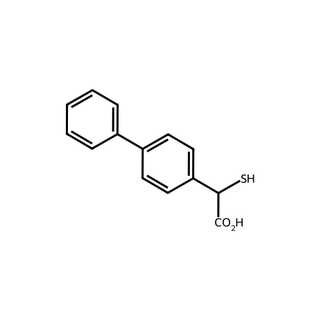 O=C(O)C(S)c1ccc(-c2ccccc2)cc1